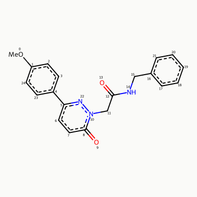 COc1ccc(-c2ccc(=O)n(CC(=O)NCc3ccccc3)n2)cc1